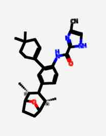 C[C@@H]1C2CCC(O2)[C@H](C)C1c1ccc(NC(=O)c2nc(C#N)c[nH]2)c(C2=CCC(C)(C)CC2)c1